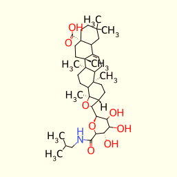 CC(C)CNC(=O)C1O[C@@H]([C@@H]2O[C@@]3(C)C4CC[C@]5(C)C(CC=C6C7CC(C)(C)CC[C@]7(C(=O)O)CC[C@]65C)[C@@]4(C)CC[C@H]23)C(O)C(O)[C@@H]1O